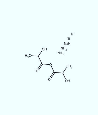 CC(O)C(=O)OC(=O)C(C)O.N.N.[NaH].[Ti].[Ti]